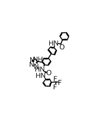 O=C(Nc1cccc(C(F)(F)F)c1)Nc1ccc(-c2ccc(NC(=O)c3ccccc3)cc2)cc1-c1nnn[nH]1